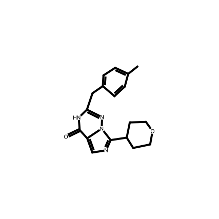 Cc1ccc(Cc2nn3c(C4CCOCC4)ncc3c(=O)[nH]2)cc1